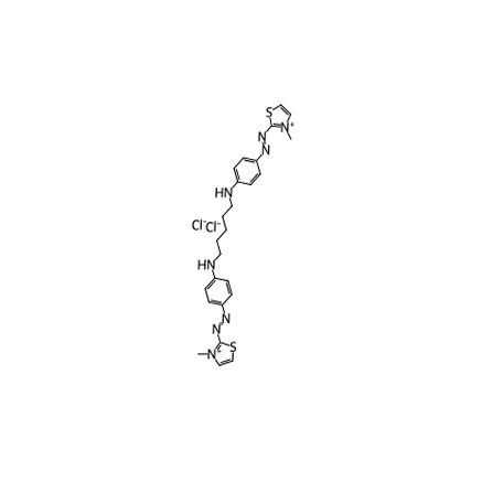 C[n+]1ccsc1/N=N/c1ccc(NCCCCCNc2ccc(/N=N/c3scc[n+]3C)cc2)cc1.[Cl-].[Cl-]